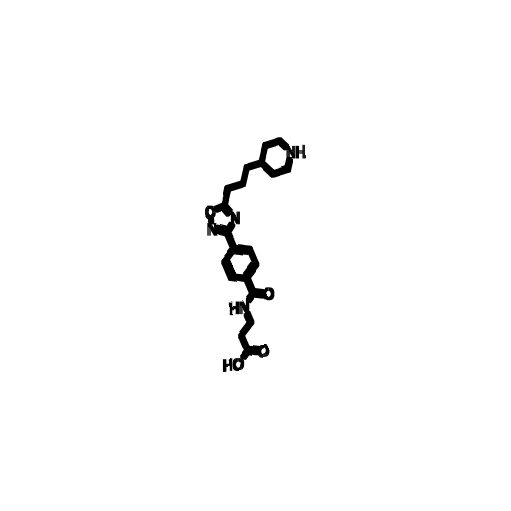 O=C(O)CCNC(=O)c1ccc(-c2noc(CCCC3CCNCC3)n2)cc1